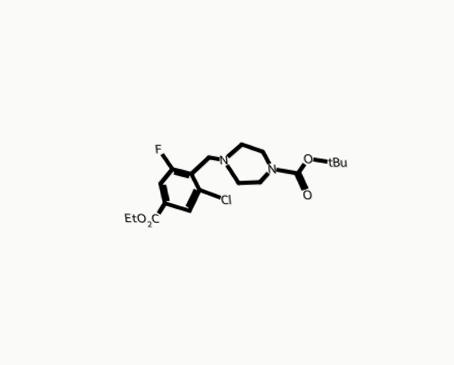 CCOC(=O)c1cc(F)c(CN2CCN(C(=O)OC(C)(C)C)CC2)c(Cl)c1